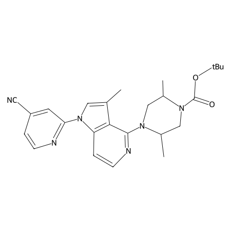 Cc1cn(-c2cc(C#N)ccn2)c2ccnc(N3CC(C)N(C(=O)OC(C)(C)C)CC3C)c12